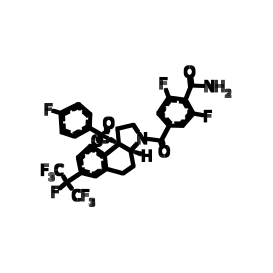 NC(=O)c1c(F)cc(C(=O)N2CC[C@@]3(S(=O)(=O)c4ccc(F)cc4)c4ccc(C(F)(C(F)(F)F)C(F)(F)F)cc4CC[C@@H]23)cc1F